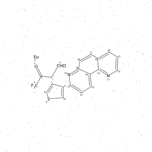 O=CCC(=O)C(F)(F)F.[Eu].c1ccsc1.c1cnc2c(c1)ccc1ncccc12